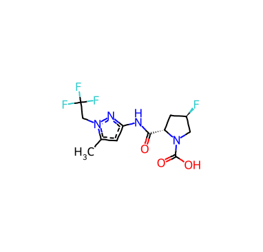 Cc1cc(NC(=O)[C@@H]2C[C@@H](F)CN2C(=O)O)nn1CC(F)(F)F